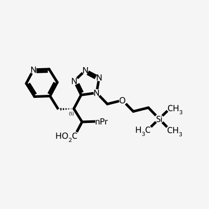 CCCC(C(=O)O)[C@H](Cc1ccncc1)c1nnnn1COCC[Si](C)(C)C